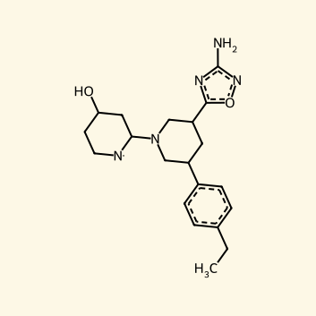 CCc1ccc(C2CC(c3nc(N)no3)CN(C3CC(O)CC[N]3)C2)cc1